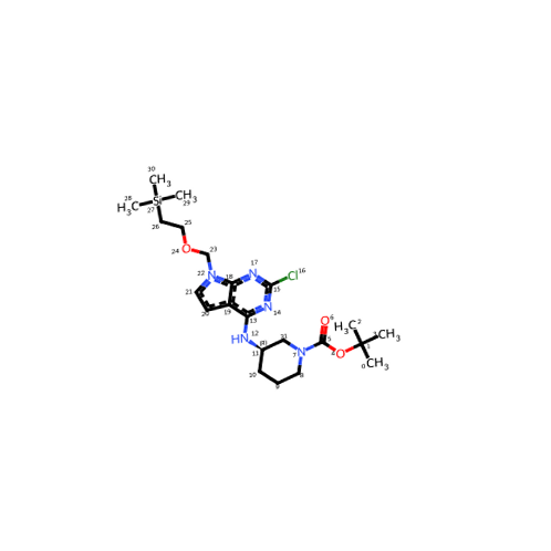 CC(C)(C)OC(=O)N1CCC[C@@H](Nc2nc(Cl)nc3c2ccn3COCC[Si](C)(C)C)C1